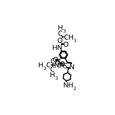 CC(C)OC(=O)Nc1ccc(-c2cnc(C3CCC(N)CC3)s2)c(S(=O)(=O)NC(C)(C)C)c1